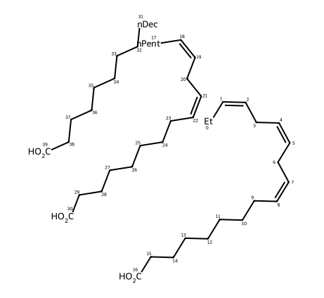 CC/C=C\C/C=C\C/C=C\CCCCCCCC(=O)O.CCCCC/C=C\C/C=C\CCCCCCCC(=O)O.CCCCCCCCCCCCCCCCCC(=O)O